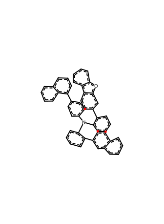 c1ccc(N(c2ccc(-c3cccc4ccccc34)cc2)c2ccccc2-c2ccc3c(c2)oc2ccccc23)c(-c2ccc3ccccc3c2)c1